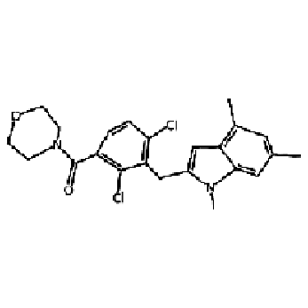 Cc1cc(C)c2cc(Cc3c(Cl)ccc(C(=O)N4CCOCC4)c3Cl)n(C)c2c1